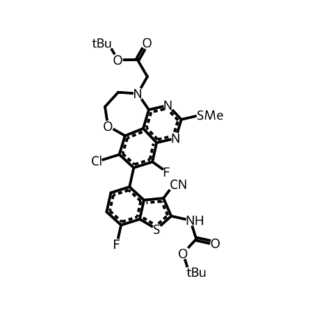 CSc1nc2c3c(c(Cl)c(-c4ccc(F)c5sc(NC(=O)OC(C)(C)C)c(C#N)c45)c(F)c3n1)OCCN2CC(=O)OC(C)(C)C